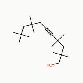 CC(C)(C)CC(C)(C)CC#CC(C)(C)CC(C)(C)CO